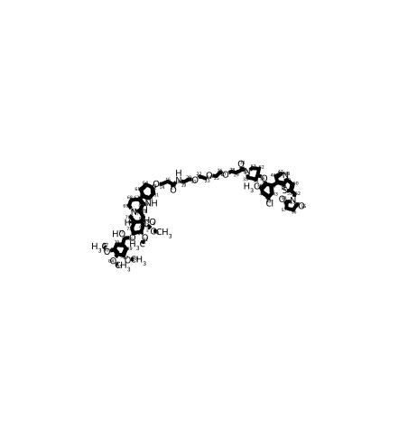 COC(=O)[C@H]1[C@H]2C[C@@H]3c4[nH]c5cc(OCCC(=O)NCCOCCOCCOCCC(=O)N6CCC(Oc7c(C)cc(Cl)cc7-c7ccnc8cc(CN9C(=O)CCC9=O)sc78)CC6)ccc5c4CCN3C[C@H]2C[C@@H](OC(O)c2cc(OC)c(OC)c(OC)c2)[C@@H]1OC